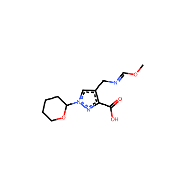 COC=NCc1cn(C2CCCCO2)nc1C(=O)O